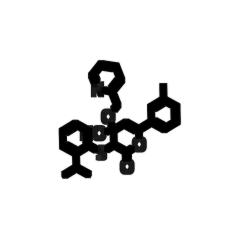 Cc1cccc(C2=CC(O)(OCc3ccccn3)C(Sc3ccccc3C(C)C)C(=O)O2)c1